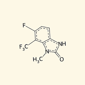 Cn1c(=O)[nH]c2ccc(F)c(C(F)(F)F)c21